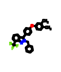 Cc1ccc(Oc2ccc(-c3c4cccc(C(F)(F)F)c4nn3Cc3ccccc3)cc2)cc1C